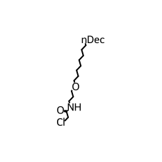 CCCCCCCCCCCCCCCCCCOCCCNC(=O)CCl